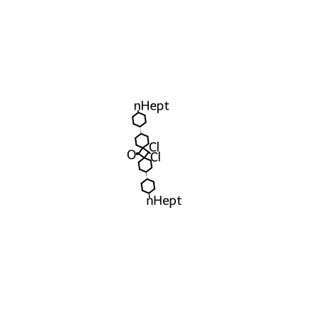 CCCCCCC[C@H]1CC[C@H](C2CCC3(CC2)C(=O)C2(CCC([C@H]4CC[C@H](CCCCCCC)CC4)CC2)C3(Cl)Cl)CC1